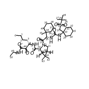 CCCC[C@H](NC(=O)[C@@H]1[C@@H]2[C@H](CN1C(=O)[C@@H](NC(=O)NC1(CS(=O)(=O)C(C)(C)C)CCCCC1)C1(C)CCCCC1)C2(C)C)C(=O)C(=O)NCC